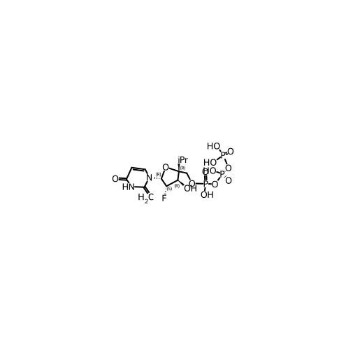 C=C1NC(=O)C=CN1[C@@H]1O[C@@](COP(=O)(O)OP(=O)(O)OP(=O)(O)O)(C(C)C)[C@@H](O)[C@@H]1F